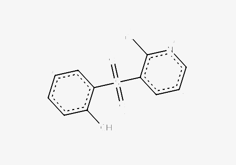 Cc1ccccc1S(=O)(=O)c1cccnc1Cl